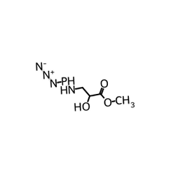 COC(=O)C(O)CNPN=[N+]=[N-]